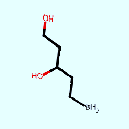 BCCC(O)CCO